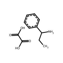 CCC(N)c1ccccc1.O=C(O)C(=O)O